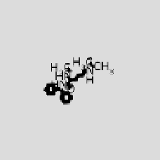 CCNC(CCCCNC(C)C)C(=O)NC(c1ccccc1)c1ccccc1